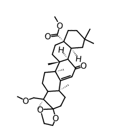 COC[C@@]1(C)C2CC[C@]3(C)C(=CC(=O)[C@@H]4[C@@H]5CC(C)(C)CC[C@]5(C(=O)OC)CC[C@]43C)[C@@]2(C)CCC12OCCO2